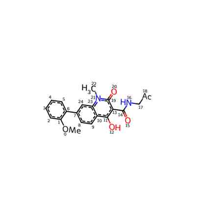 COc1ccccc1-c1ccc2c(O)c(C(=O)NCC(C)=O)c(=O)n(C)c2c1